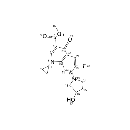 COC(=O)c1cn(C2CC2)c2cc(N3CCC(O)C3)c(F)cc2c1=O